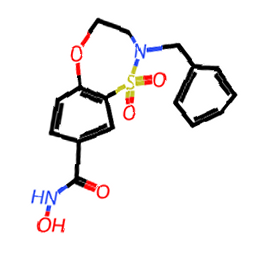 O=C(NO)c1ccc2c(c1)S(=O)(=O)N(Cc1ccccc1)CCO2